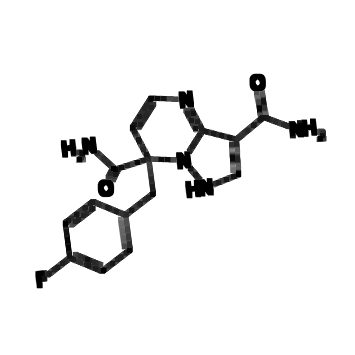 NC(=O)C1=CNN2C1=NC=CC2(Cc1ccc(F)cc1)C(N)=O